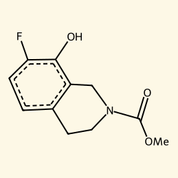 COC(=O)N1CCc2ccc(F)c(O)c2C1